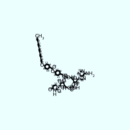 CC#CC#CC#CC#CC#COc1ccc(C(=O)Oc2ccc(CS[P@]3(=O)OC[C@H]4O[C@@H](n5cnc6c(N)ncnc65)[C@H](F)[C@@H]4OP(=O)(O)OC[C@H]4O[C@@H](n5ccc(=O)[nH]c5=O)[C@H](F)[C@@H]4O3)cc2)cc1